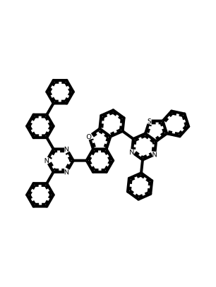 c1ccc(-c2cccc(-c3nc(-c4ccccc4)nc(-c4cccc5c4oc4cccc(-c6nc(-c7ccccc7)nc7c6sc6ccccc67)c45)n3)c2)cc1